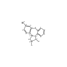 CC1C2c3ccccc3Cc3cc(Br)ccc3N2CN1C